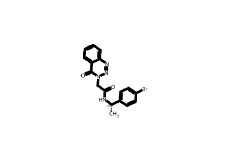 C[C@H](NC(=O)Cn1nnc2ccccc2c1=O)c1ccc(Br)cc1